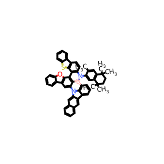 Cc1cc2c(cc1N1B3c4c(cc5c(oc6ccccc65)c4-c4c1ccc1c4sc4ccccc41)-n1c4cc5ccccc5cc4c4cccc3c41)C(C)(C)CCC2(C)C